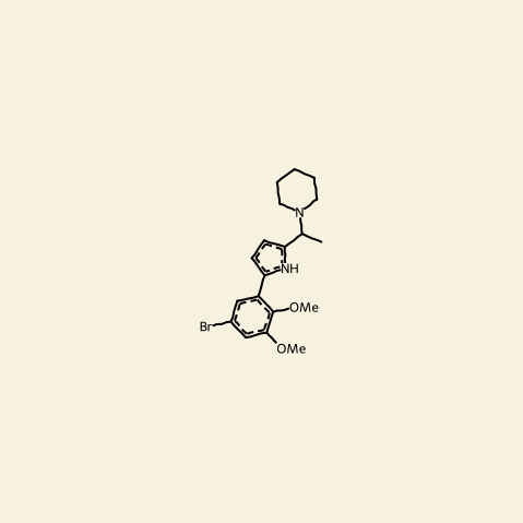 COc1cc(Br)cc(-c2ccc(C(C)N3CCCCC3)[nH]2)c1OC